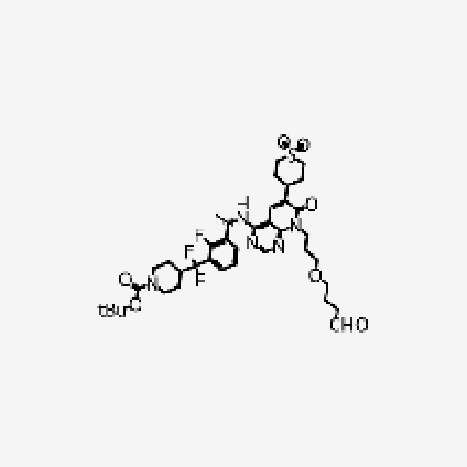 C[C@@H](Nc1ncnc2c1cc(C1CCS(=O)(=O)CC1)c(=O)n2CCCOCCCC=O)c1cccc(C(F)(F)C2CCN(C(=O)OC(C)(C)C)CC2)c1F